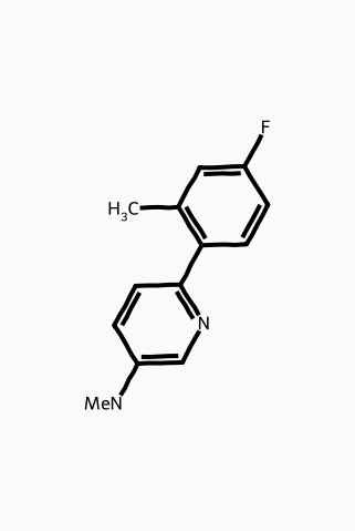 CNc1ccc(-c2ccc(F)cc2C)nc1